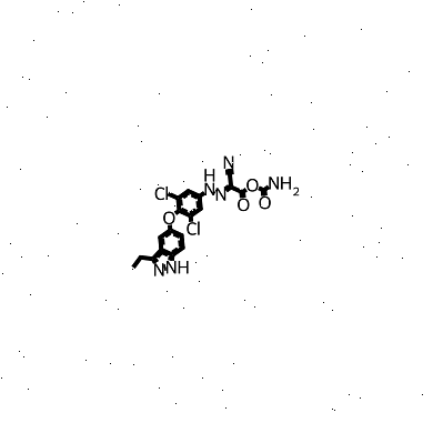 CCc1n[nH]c2ccc(Oc3c(Cl)cc(N/N=C(\C#N)C(=O)OC(N)=O)cc3Cl)cc12